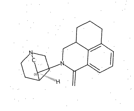 C=C1c2cccc3c2C(CCC3)CN1[C@@H]1CN2CCC1CC2